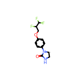 O=C1NC[CH]N1c1ccc(OCC(F)C(F)F)cc1